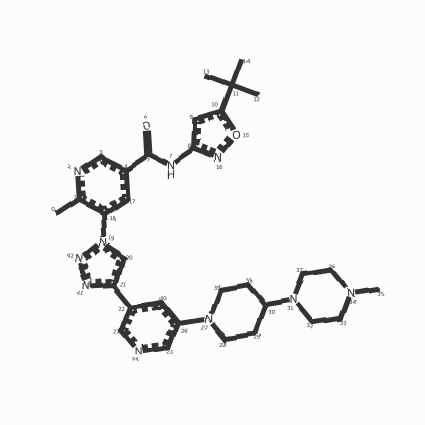 Cc1ncc(C(=O)Nc2cc(C(C)(C)C)on2)cc1-n1cc(-c2cncc(N3CCC(N4CCN(C)CC4)CC3)c2)nn1